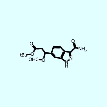 CC(C)(C)OC(=O)CC(OC=O)c1ccc2c(C(N)=O)n[nH]c2c1